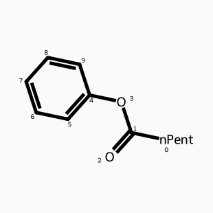 [CH2]CCCCC(=O)Oc1ccccc1